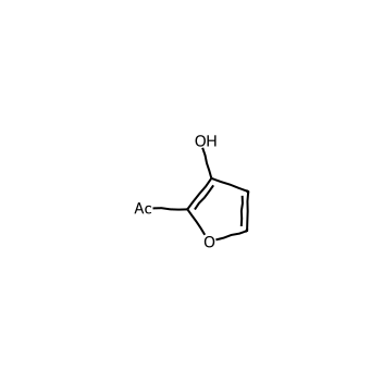 CC(=O)c1occc1O